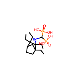 CCC12CCC(C1)C(CC)(CC)C2(CC)NC(P(=O)(O)O)P(=O)(O)O